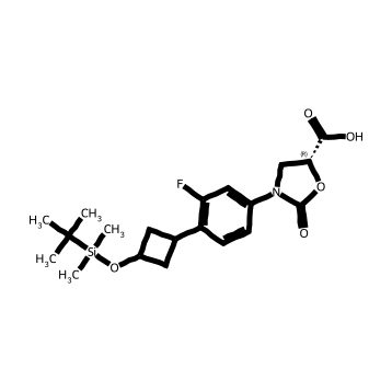 CC(C)(C)[Si](C)(C)OC1CC(c2ccc(N3C[C@H](C(=O)O)OC3=O)cc2F)C1